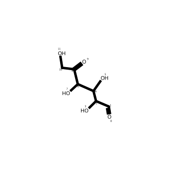 O=CC(O)C(O)C(O)C(=O)CO